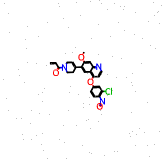 C=CC(=O)N1CC=C(c2cc3c(Oc4ccc(N=O)c(Cl)c4)ccnc3cc2OC)CC1